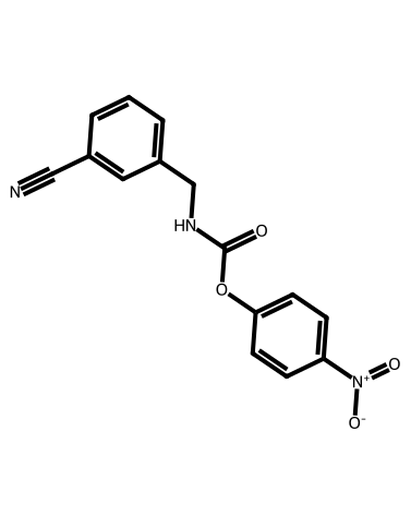 N#Cc1cccc(CNC(=O)Oc2ccc([N+](=O)[O-])cc2)c1